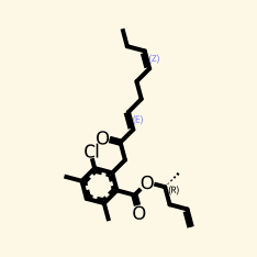 C=CC[C@@H](C)OC(=O)c1c(C)cc(C)c(Cl)c1CC(=O)/C=C/CC/C=C\CC